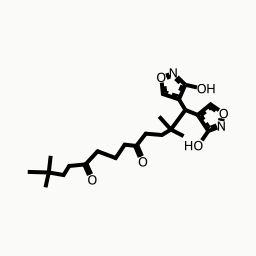 CC(C)(C)CCC(=O)CCCC(=O)CCC(C)(C)C(c1conc1O)c1conc1O